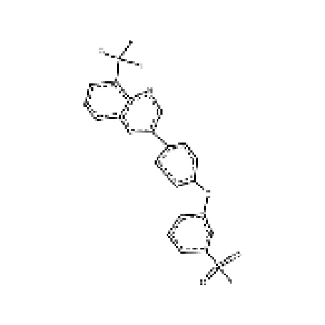 CS(=O)(=O)c1cccc(Oc2ccc(-c3cnc4c(C(F)(F)F)cccc4c3)cc2)c1